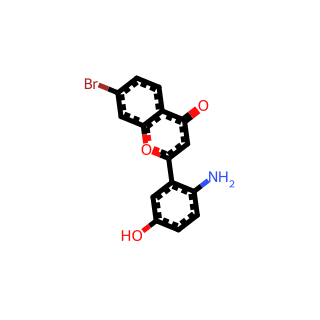 Nc1ccc(O)cc1-c1cc(=O)c2ccc(Br)cc2o1